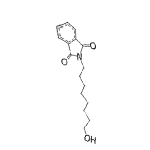 O=C1c2ccccc2C(=O)N1CCCCCCCCO